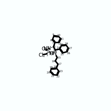 O=S(=O)(CCl)N[C@H](c1ccccc1)[C@H](NCCCc1ccccc1)c1ccccc1